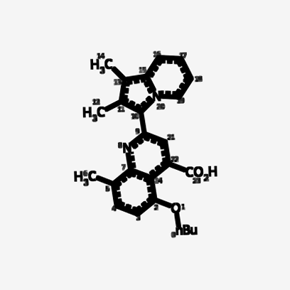 CCCCOc1ccc(C)c2nc(-c3c(C)c(C)c4ccccn34)cc(C(=O)O)c12